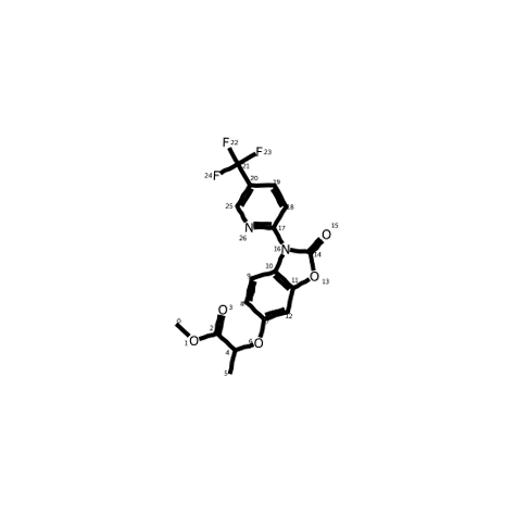 COC(=O)C(C)Oc1ccc2c(c1)oc(=O)n2-c1ccc(C(F)(F)F)cn1